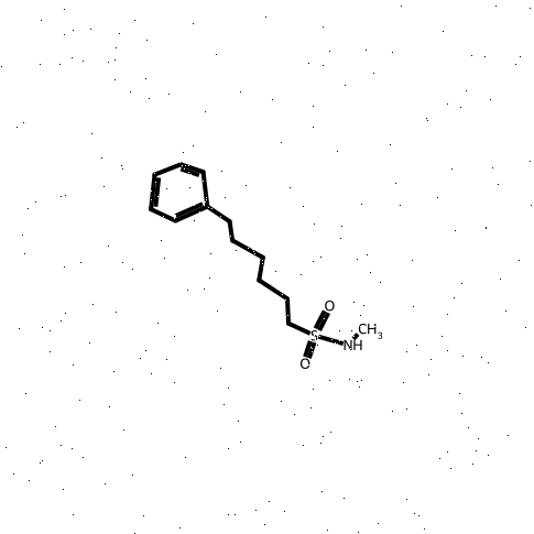 CNS(=O)(=O)CCCCCCc1ccccc1